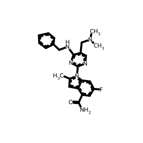 Cc1cc2c(C(N)=O)cc(F)cc2n1-c1ncc(CN(C)C)c(NCc2ccccc2)n1